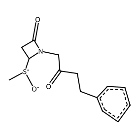 C[S+]([O-])C1CC(=O)N1CC(=O)CCc1ccccc1